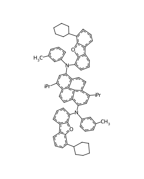 Cc1cccc(N(c2cc(C(C)C)c3ccc4c(N(c5cccc(C)c5)c5cccc6c5oc5c(C7CCCCC7)cccc56)cc(C(C)C)c5ccc2c3c54)c2cccc3c2oc2c(C4CCCCC4)cccc23)c1